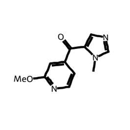 COc1cc(C(=O)c2cncn2C)ccn1